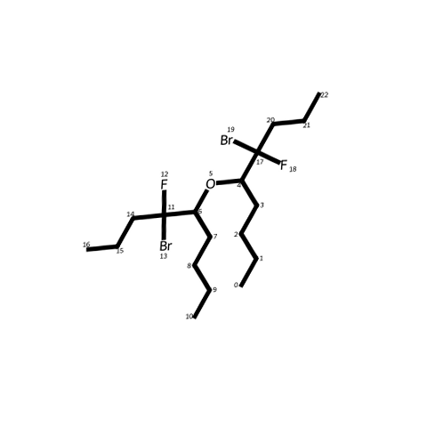 CCCCC(OC(CCCC)C(F)(Br)CCC)C(F)(Br)CCC